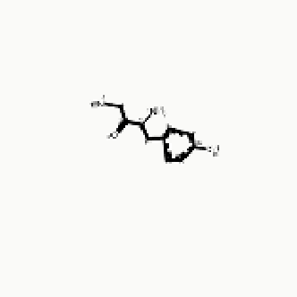 CC(C)(C)CC(=O)[C@@H](N)Cc1ccc(O)cc1